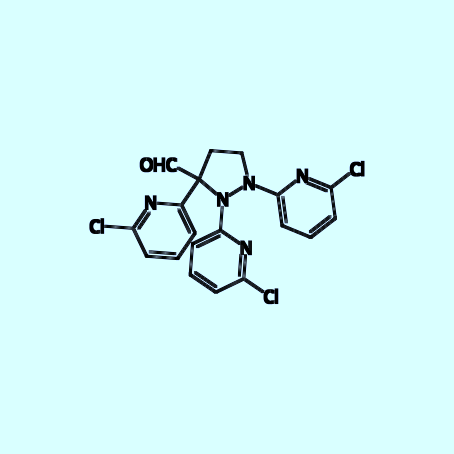 O=CC1(c2cccc(Cl)n2)CCN(c2cccc(Cl)n2)N1c1cccc(Cl)n1